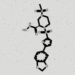 CS(=O)(=O)N1CCN(S(=O)(=O)c2ccc(-c3ccc4c(c3)OCO4)s2)[C@@H](C(=O)NO)C1